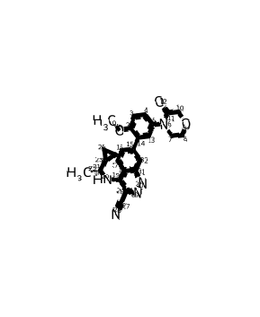 COc1ccc(N2CCOCC2=O)cc1-c1ccc2c(N[C@H](C)C3CC3)c(C#N)nnc2c1